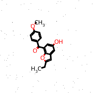 CCc1cc2cc(O)cc(C(=O)c3ccc(OC)cc3)c2o1